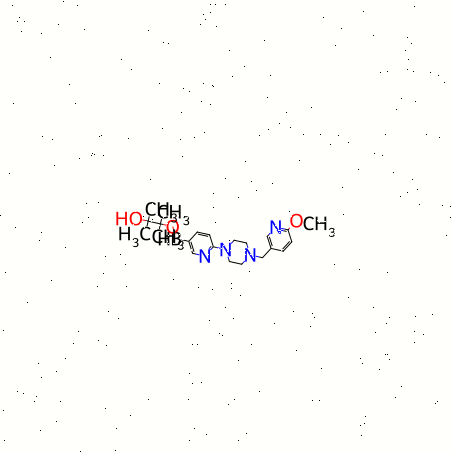 COc1ccc(CN2CCN(c3ccc(BOC(C)(C)C(C)(C)O)cn3)CC2)cn1